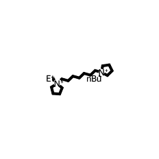 CCCC[N+]1(CCCCCCC[N+]2(CC)CCCC2)CCCC1